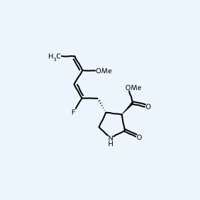 C/C=C(\C=C(\F)C[C@H]1CNC(=O)[C@@H]1C(=O)OC)OC